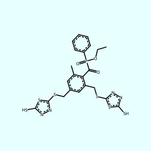 CCOP(=O)(C(=O)c1c(C)cc(CSc2nnc(S)s2)cc1CSc1nnc(S)s1)c1ccccc1